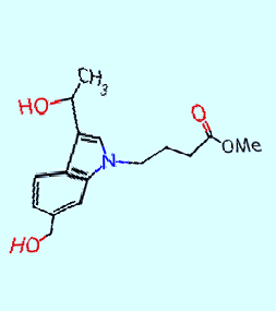 COC(=O)CCCn1cc(C(C)O)c2ccc(CO)cc21